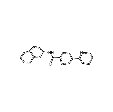 O=C(Nc1ccc2ccccc2c1)c1ccc(-c2ccccn2)cc1